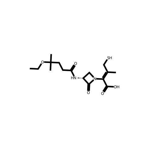 CCOC(C)(C)CCC(=O)N[C@@H]1CN(/C(C(=O)O)=C(/C)CS)C1=O